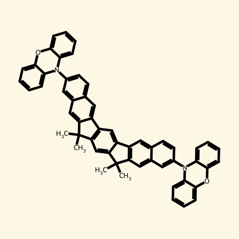 CC1(C)c2cc3c(cc2-c2cc4ccc(N5c6ccccc6Oc6ccccc65)cc4cc21)-c1cc2ccc(N4c5ccccc5Oc5ccccc54)cc2cc1C3(C)C